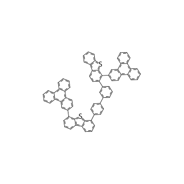 c1cc(-c2ccc(-c3cccc4c3sc3c(-c5ccc6c7ccccc7c7ccccc7c6c5)cccc34)cc2)cc(-c2ccc3c(sc4ccccc43)c2-c2ccc3c4ccccc4c4ccccc4c3c2)c1